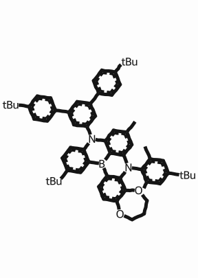 Cc1cc2c3c(c1)N(c1c(C)cc(C(C)(C)C)cc1C)c1c(ccc4c1OCCCO4)B3c1cc(C(C)(C)C)ccc1N2c1cc(-c2ccc(C(C)(C)C)cc2)cc(-c2ccc(C(C)(C)C)cc2)c1